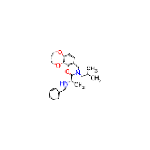 CC(C)CN(Cc1ccc2c(c1)OCCCO2)C(=O)C(C)NCc1ccccc1